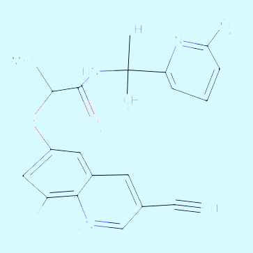 C#Cc1cnc2c(F)cc(OC(SC)C(=O)NC(C)(C)c3cccc(C)n3)cc2c1